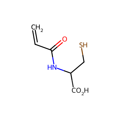 C=CC(=O)NC(CS)C(=O)O